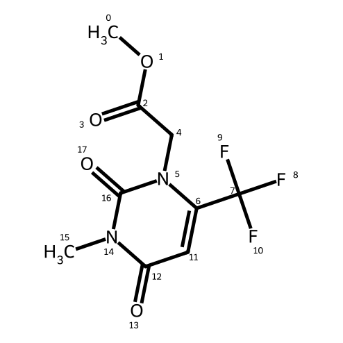 COC(=O)Cn1c(C(F)(F)F)cc(=O)n(C)c1=O